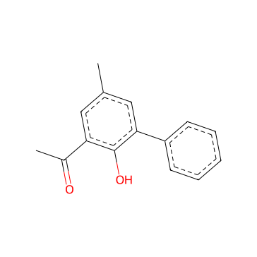 CC(=O)c1cc(C)cc(-c2ccccc2)c1O